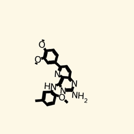 COc1ccc(C)cc1Nc1nc(N)nc2ccc(-c3ccc(OC)c(OC)c3)nc12